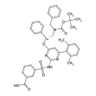 Cc1cccc(C)c1-c1cc(O[C@@H](CN(Cc2ccccc2)C(=O)OC(C)(C)C)c2ccccc2)nc(NS(=O)(=O)c2cccc(C(=O)O)c2)n1